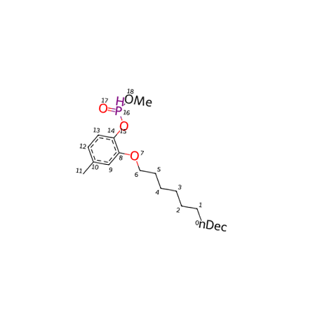 CCCCCCCCCCCCCCCCOc1cc(C)ccc1O[PH](=O)OC